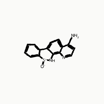 Nc1ccnc2c3c(ccc12)-c1ccccc1[S+]([O-])N3